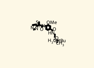 COc1cc(C(=O)NCCO[Si](C)(C)C(C)(C)C)ccc1NC(=O)c1csc2cncnc12